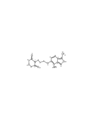 CCCc1c(OCCCN2C(=O)COCC2=O)ccc2c(C(F)(F)F)onc12